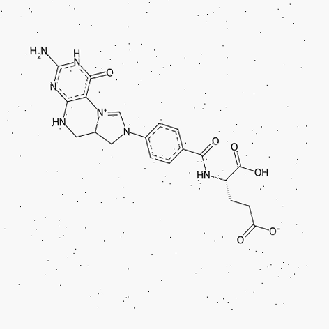 Nc1nc2c(c(=O)[nH]1)[N+]1=CN(c3ccc(C(=O)N[C@@H](CCC(=O)[O-])C(=O)O)cc3)CC1CN2